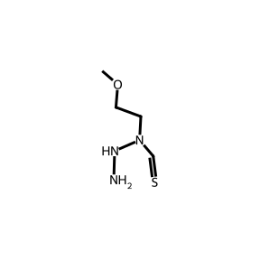 COCCN(C=S)NN